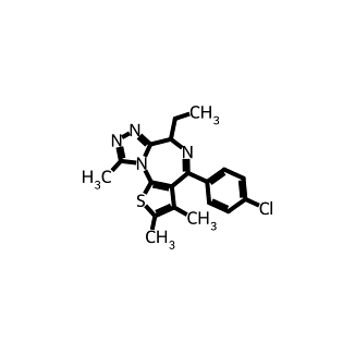 CCC1N=C(c2ccc(Cl)cc2)c2c(sc(C)c2C)-n2c(C)nnc21